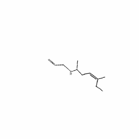 C=CCBC(C)C/C=C(/C)CC